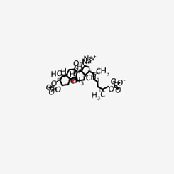 C[C@@H](CCC[C@@H](C)[C@H]1CC[C@H]2[C@@H]3[C@H](O)C[C@H]4[C@@H](O)[C@H](OS(=O)(=O)[O-])CC[C@]4(C)[C@H]3CC[C@]12C)COS(=O)(=O)[O-].[Na+].[Na+]